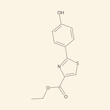 CCOC(=O)c1csc(-c2ccc(O)cc2)n1